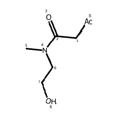 CC(=O)CC(=O)N(C)CCO